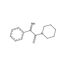 N=C(C(=O)N1CCCCC1)c1ccccc1